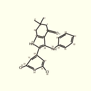 CC1(C)CC(=O)c2c([nH]c(-c3cc(Cl)nc(Cl)c3)c2Nc2ccccc2)C1